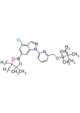 CC1(C)OB(c2cc(Cl)c3cnn(-c4cccc(CO[Si](C)(C)C(C)(C)C)n4)c3c2)OC1(C)C